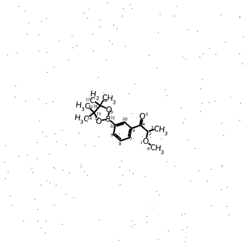 COC(C)C(=O)c1cccc(B2OC(C)(C)C(C)(C)O2)c1